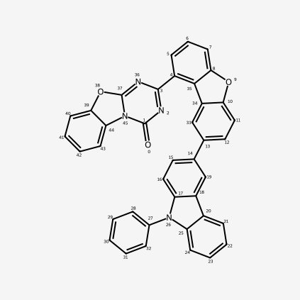 O=c1nc(-c2cccc3oc4ccc(-c5ccc6c(c5)c5ccccc5n6-c5ccccc5)cc4c23)nc2oc3ccccc3n12